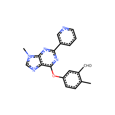 Cc1ccc(Oc2nc(-c3cccnc3)nc3c2ncn3C)cc1C=O